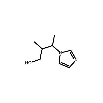 CC(CO)C(C)n1ccnc1